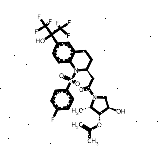 C=C(C)O[C@H]1[C@H](O)CN(C(=O)C[C@@H]2CCc3cc(C(O)(C(F)(F)F)C(F)(F)F)ccc3N2S(=O)(=O)c2ccc(F)cc2)[C@H]1C